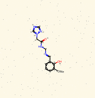 COc1cccc(/C=N/CNC(=O)Cn2cncn2)c1O